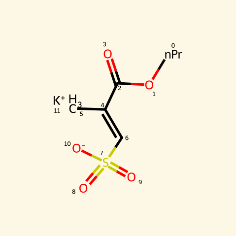 CCCOC(=O)C(C)=CS(=O)(=O)[O-].[K+]